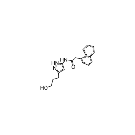 O=C(Cc1cccc2ccccc12)Nc1cc(CCCO)n[nH]1